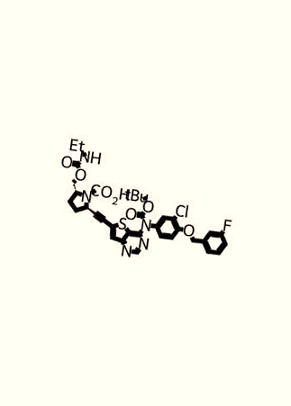 CCNC(=O)OC[C@H]1CC[C@H](C#Cc2cc3ncnc(N(C(=O)OC(C)(C)C)c4ccc(OCc5cccc(F)c5)c(Cl)c4)c3s2)N1C(=O)O